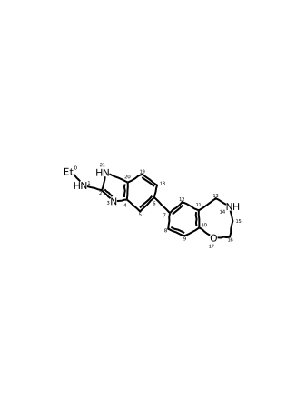 CCNc1nc2cc(-c3ccc4c(c3)CNCCO4)ccc2[nH]1